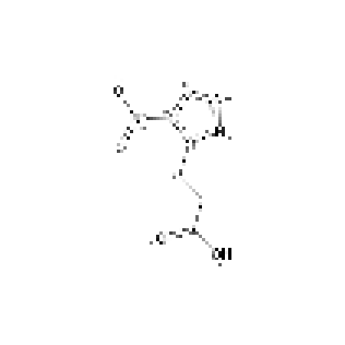 O=C(O)CCc1n[nH]cc1[N+](=O)[O-]